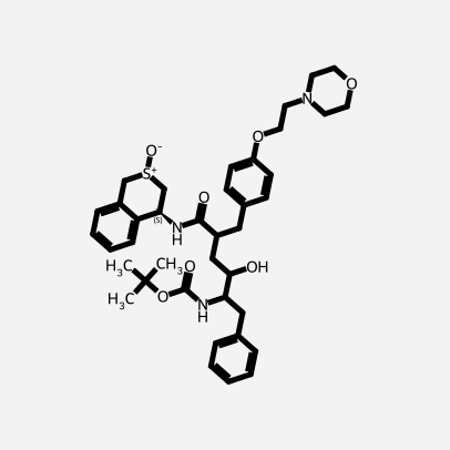 CC(C)(C)OC(=O)NC(Cc1ccccc1)C(O)CC(Cc1ccc(OCCN2CCOCC2)cc1)C(=O)N[C@@H]1C[S+]([O-])Cc2ccccc21